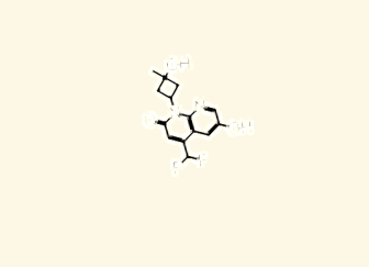 CC1(O)CC(n2c(=O)cc(C(F)F)c3cc(O)cnc32)C1